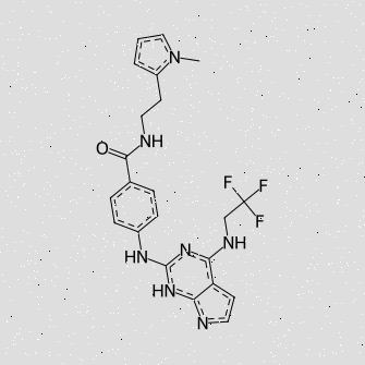 Cn1cccc1CCNC(=O)c1ccc(Nc2nc(NCC(F)(F)F)c3ccnc-3[nH]2)cc1